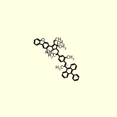 C=CC1=C(c2cc3oc4ccccc4c3cc2C)C(=C)C(CC(=C)c2ccc(/C=C(\C)c3c4ccccc4c(-c4ccccc4)c4ccccc34)c(C)c2)C1(C)C